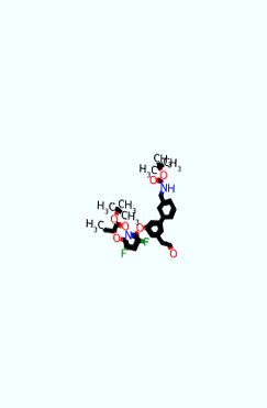 CCC(Oc1nc(Oc2cc(CC=O)cc(C3C=CC=C(CNC(=O)OC(C)(C)C)C3)c2)c(F)cc1F)C(=O)OC(C)(C)C